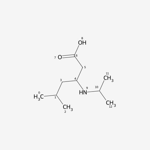 CC(C)CC(CC(=O)O)NC(C)C